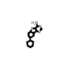 Nc1ncnc2c1sc1ccc(-c3ccccc3)cc12